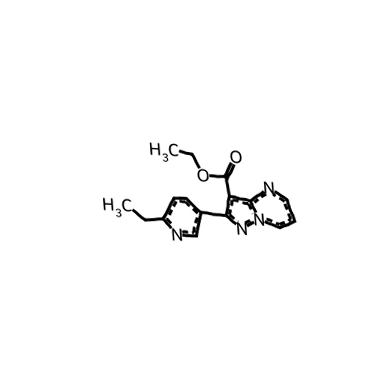 CCOC(=O)c1c(-c2ccc(CC)nc2)nn2cccnc12